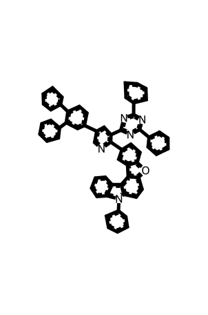 c1ccc(-c2nc(-c3ccccc3)nc(-c3cc(-c4ccc(-c5ccccc5)c(-c5ccccc5)c4)cnc3-c3ccc4oc5ccc6c(c7ccccc7n6-c6ccccc6)c5c4c3)n2)cc1